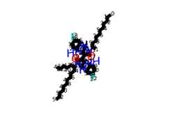 CCCCCCCCCCC(C)n1c2nc3cc(F)ccc3[nH]c-2c(-c2c3[nH]c4ccc(F)cc4nc-3n(C(CCCCC)CCCCCCCCCC)c2=O)c1=O